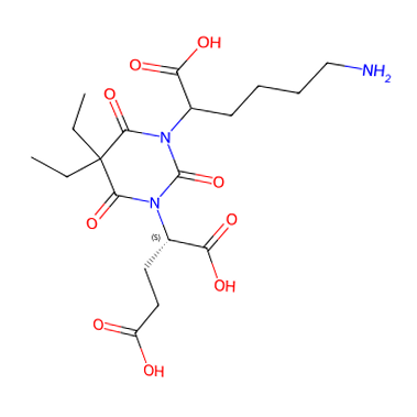 CCC1(CC)C(=O)N(C(CCCCN)C(=O)O)C(=O)N([C@@H](CCC(=O)O)C(=O)O)C1=O